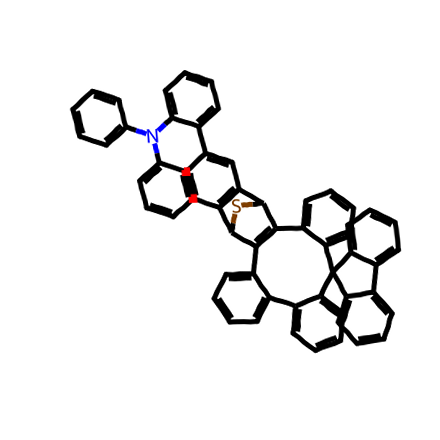 c1ccc(N(c2ccccc2)c2ccccc2-c2ccc3c(c2)C2SC3C3=C2c2ccccc2C2(c4ccccc4-c4ccccc43)c3ccccc3-c3ccccc32)cc1